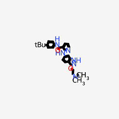 CN(C)CCOc1n[nH]c2cc(Nc3ncccc3C(=O)Nc3ccc(C(C)(C)C)cc3)ccc12